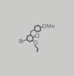 C=CCOc1cc(Br)cc(Cc2ccc(OC)cc2)c1Cl